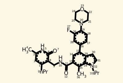 CCCc1cc(C)[nH]c(=O)c1CNC(=O)c1cc(-c2ccc(N3CCOCC3)c(F)c2)c2ccn(C(C)C)c2c1C